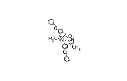 Cc1cnc(C(Cc2ccc(OCc3ccccc3)cc2)C(=O)C(Cc2ccc(OCc3ccccc3)cc2)c2ncc(C)s2)s1